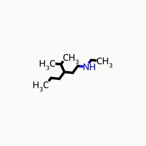 CCCC(CCNCC)C(C)C